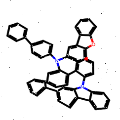 c1ccc(-c2ccc(N(c3ccc4oc5ccccc5c4c3)c3ccccc3-c3ccccc3-n3c4ccccc4c4ccc(-c5ccccc5)cc43)cc2)cc1